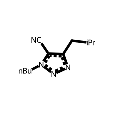 CCCCn1nnc(CC(C)C)c1C#N